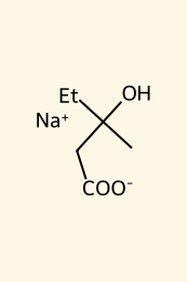 CCC(C)(O)CC(=O)[O-].[Na+]